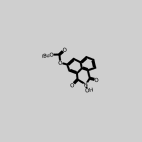 CC(C)COC(=O)Oc1cc2c3c(cccc3c1)C(=O)N(O)C2=O